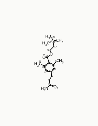 Cc1cc(CCC(N)=O)cc(C)c1C(=O)OCC[Si](C)(C)C